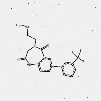 CNCCN1CC(=O)Nc2ccc(-c3cccc(C(F)(F)F)c3)cc2C1=O